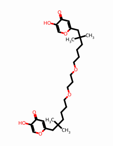 CC(C)(CCCCOCCCOCCCCC(C)(C)Cc1cc(=O)c(O)co1)Cc1cc(=O)c(O)co1